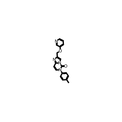 Cc1ccc(-n2ccc3nc(COc4cccnc4)cn3c2=O)cc1